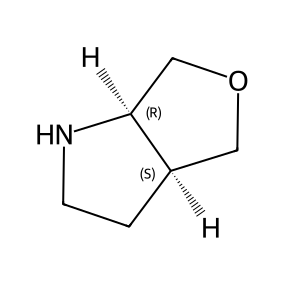 C1C[C@@H]2COC[C@@H]2N1